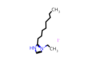 CCCCCCCCc1[nH]cc[n+]1CC.[I-]